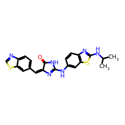 CC(C)Nc1nc2ccc(NC3=NC(=Cc4ccc5ncsc5c4)C(=O)N3)cc2s1